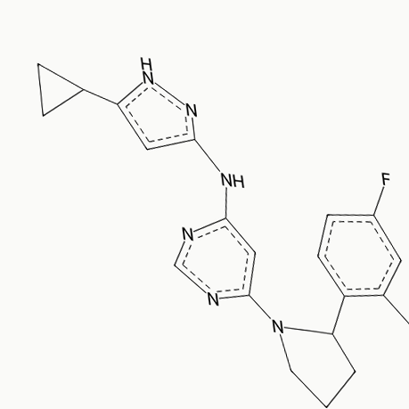 Fc1ccc(C2CCCN2c2cc(Nc3cc(C4CC4)[nH]n3)ncn2)c(Cl)c1